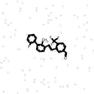 Cc1c(/C=C/c2cc(C=O)ccc2C(F)(F)F)cccc1-c1ccccc1F